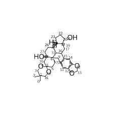 CC1(C)COC2(CC[C@@]34Cc5cc6c(cc5C5C[C@]7(C)[C@@H](O)CC[C@H]7[C@H](CC[C@@]3(O)C2)C54)OCO6)OC1